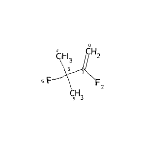 C=C(F)C(C)(C)F